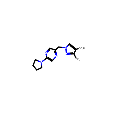 O=C(O)c1cn(Cc2cnc(N3CCCC3)cn2)nc1C(F)(F)F